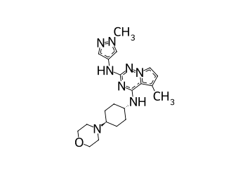 Cc1ccn2nc(Nc3cnn(C)c3)nc(N[C@H]3CC[C@H](N4CCOCC4)CC3)c12